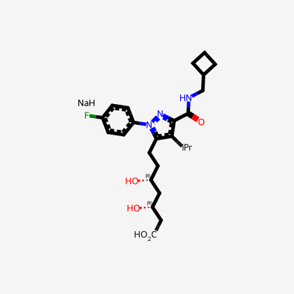 CC(C)c1c(C(=O)NCC2CCC2)nn(-c2ccc(F)cc2)c1CC[C@@H](O)C[C@@H](O)CC(=O)O.[NaH]